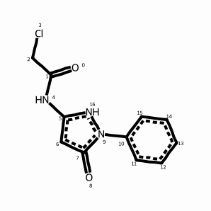 O=C(CCl)Nc1cc(=O)n(-c2ccccc2)[nH]1